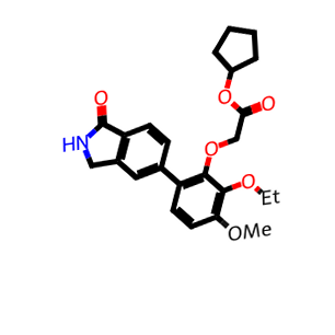 CCOc1c(OC)ccc(-c2ccc3c(c2)CNC3=O)c1OCC(=O)OC1CCCC1